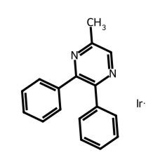 Cc1cnc(-c2ccccc2)c(-c2ccccc2)n1.[Ir]